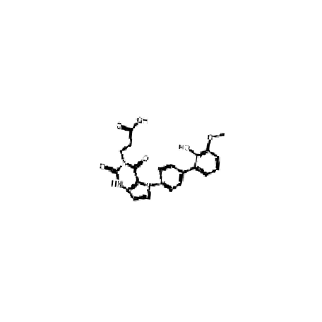 COc1cccc(-c2ccc(-n3ccc4[nH]c(=O)n(CCC(=O)O)c(=O)c43)cc2)c1O